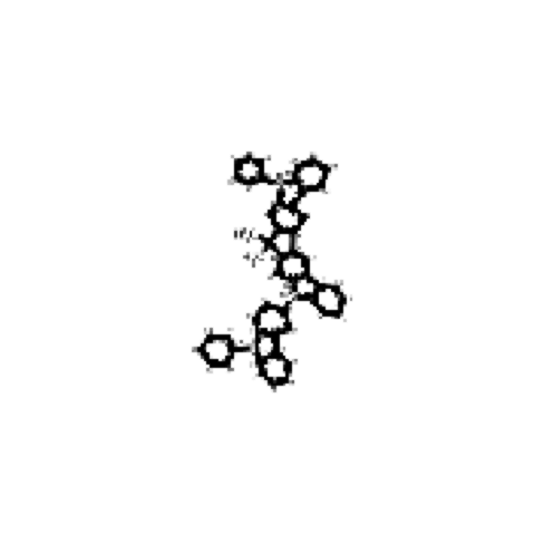 CC1(C)c2cc3c(cc2-c2cc4c5ccccc5n(-c5ccc6c(c5)c5ccccc5n6-c5ccccc5)c4cc21)c1ccccc1n3-c1ccccc1